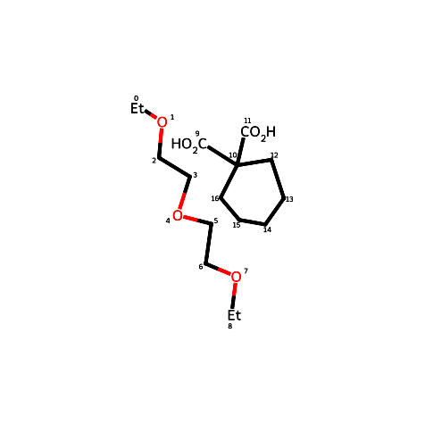 CCOCCOCCOCC.O=C(O)C1(C(=O)O)CCCCC1